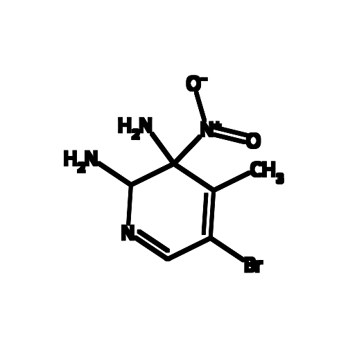 CC1=C(Br)C=NC(N)C1(N)[N+](=O)[O-]